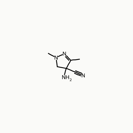 CC1=NN(C)CC1(N)C#N